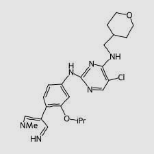 CN/C=C(\C=N)c1ccc(Nc2ncc(Cl)c(NCC3CCOCC3)n2)cc1OC(C)C